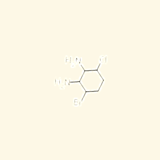 NC1C(Cl)CCC(Br)C1N